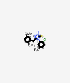 COc1ccc(OC)c(Cc2n[nH]c(=S)n2-c2cc(C(F)(F)F)ccc2Cl)c1